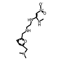 CN/C(=C\[N+](=O)[O-])NCCNCc1ccc(CN(C)C)o1